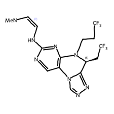 CN/C=C\Nc1ncc2c(n1)N(CCC(F)(F)F)[C@@H](CC(F)(F)F)c1nncn1-2